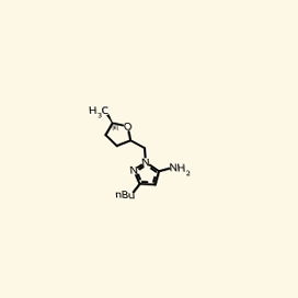 CCCCc1cc(N)n(CC2CC[C@@H](C)O2)n1